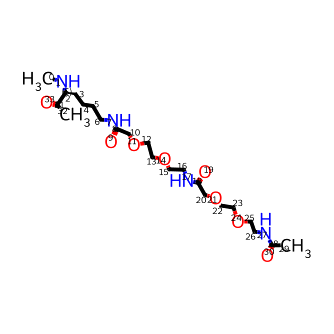 CN[C@@H](CCCCNC(=O)COCCOCCNC(=O)COCCOCCNC(C)=O)C(C)=O